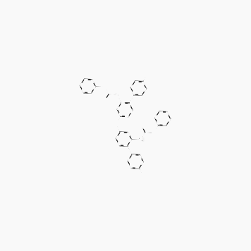 O=C(Nc1cc(Oc2ccc(-c3ccc(O)cc3)c(NC(=O)Oc3ccccc3)c2)ccc1-c1ccc(O)cc1)Oc1ccccc1